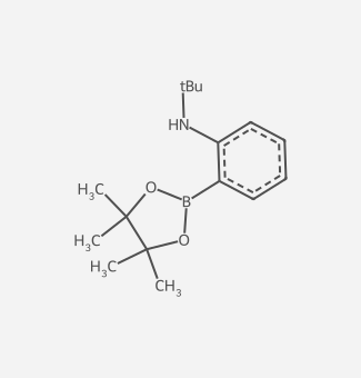 CC(C)(C)Nc1ccccc1B1OC(C)(C)C(C)(C)O1